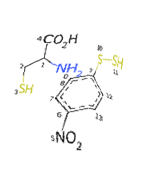 NC(CS)C(=O)O.O=[N+]([O-])c1ccc(SS)cc1